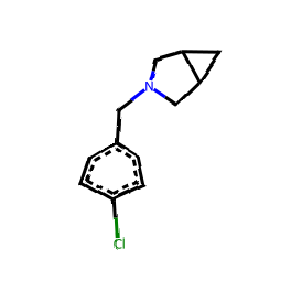 Clc1ccc(CN2CC3CC3C2)cc1